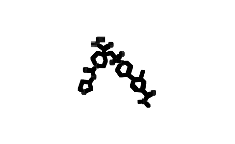 Cc1cc(C(=O)N(C)C)ccc1C1=CCN(S(=O)(=O)CC2(C(=O)NO)CCN(C(=O)OC3CCOC3)CC2)CC1